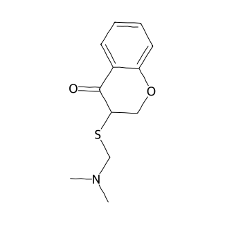 CN(C)CSC1COc2ccccc2C1=O